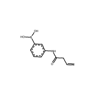 C=CCC(=O)Nc1cccc(B(O)O)c1